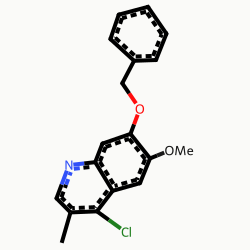 COc1cc2c(Cl)c(C)cnc2cc1OCc1ccccc1